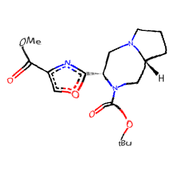 COC(=O)c1coc([C@@H]2CN3CCC[C@@H]3CN2C(=O)OC(C)(C)C)n1